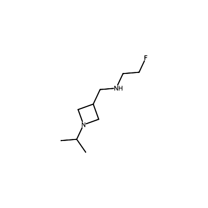 CC(C)N1CC(CNCCF)C1